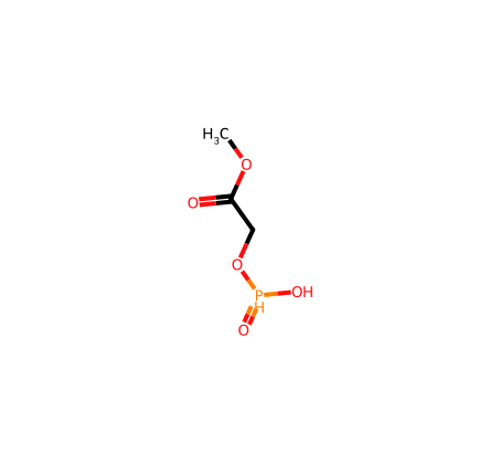 COC(=O)CO[PH](=O)O